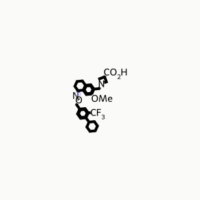 COc1cc2c(cc1CN1CC(C(=O)O)C1)CCC/C2=N/OCc1ccc(C2CCCCC2)c(C(F)(F)F)c1